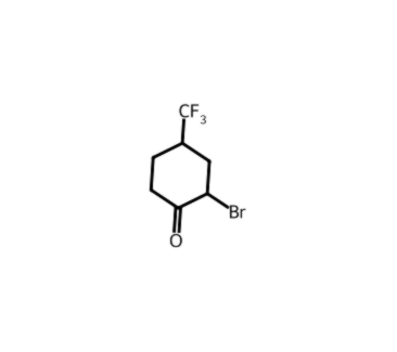 O=C1CCC(C(F)(F)F)CC1Br